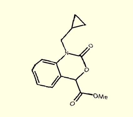 COC(=O)C1OC(=O)N(CC2CC2)c2ccccc21